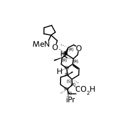 CNC1(CO[C@H]2[C@H](C)C[C@@]34COC[C@@]2(C)[C@@H]3CC[C@H]2C4=CC[C@@]3(C)[C@H](C(=O)O)[C@@](C)([C@H](C)C(C)C)CC[C@]23C)CCCC1